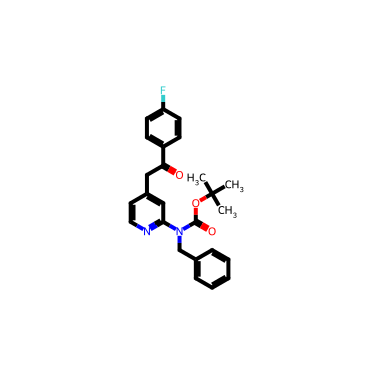 CC(C)(C)OC(=O)N(Cc1ccccc1)c1cc(CC(=O)c2ccc(F)cc2)ccn1